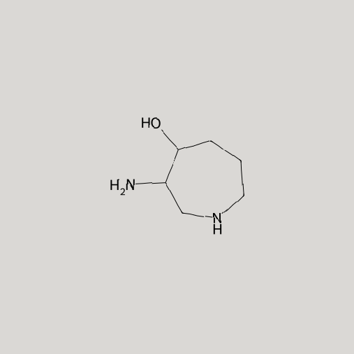 NC1CNCCCC1O